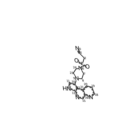 N#CCS(=O)(=O)N1CCN(c2c[nH]c3ncc4ncccc4c23)CC1